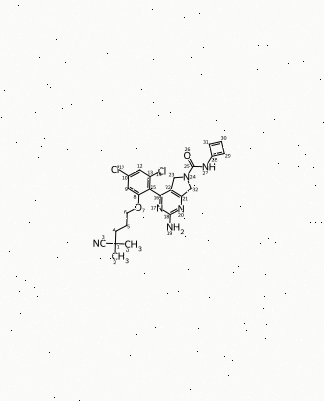 CC(C)(C#N)CCCOc1cc(Cl)cc(Cl)c1-c1nc(N)nc2c1CN(C(=O)NC1=CC=C1)C2